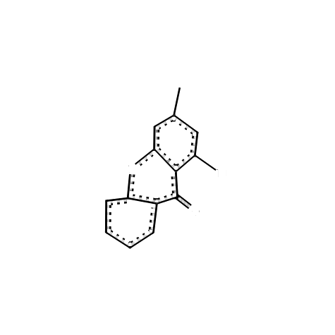 CCc1cc(C)cc2sc3ccccc3c(=O)c12